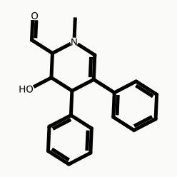 CN1C=C(c2ccccc2)C(c2ccccc2)C(O)C1C=O